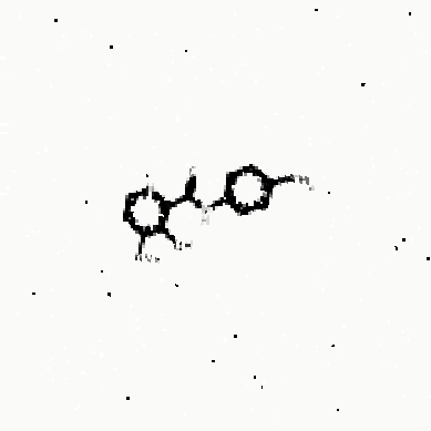 COc1ccnc(C(=O)Nc2ccc(C)cc2)c1O